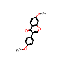 CCCOc1ccc(-c2coc3cc(OCCC)ccc3c2=O)cc1